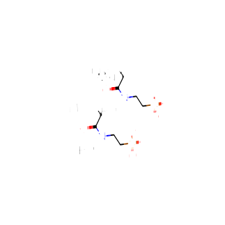 CCCCCCCCCCCC(=O)N(C)CCS(=O)(=O)[O-].CCCCCCCCCCCC(=O)N(C)CCS(=O)(=O)[O-].[Mg+2]